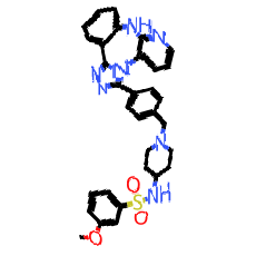 COc1cccc(S(=O)(=O)NC2CCN(Cc3ccc(-c4nnc5n4-c4cccnc4Nc4ccccc4-5)cc3)CC2)c1